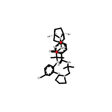 CC(C)(CN1CCCC1)NC(=O)c1ccc(N2[C@@H]3CC[C@H]2C[C@@H](NC(=O)C(C)(C)Oc2ccc(Cl)cc2Cl)C3)nc1